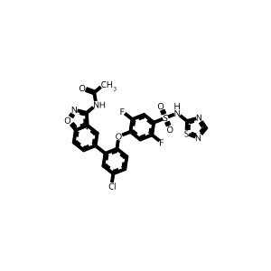 CC(=O)Nc1noc2ccc(-c3cc(Cl)ccc3Oc3cc(F)c(S(=O)(=O)Nc4ncns4)cc3F)cc12